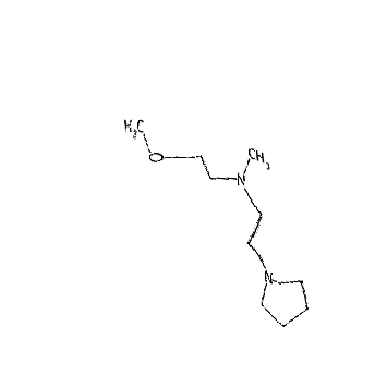 COCCN(C)CCN1CCCC1